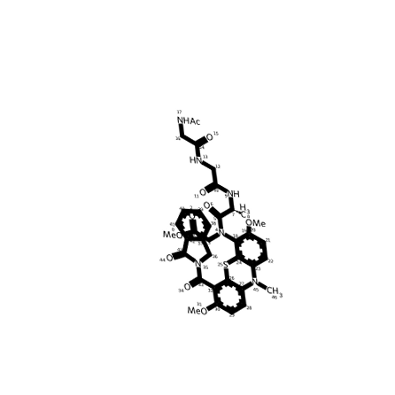 COC(=O)CN(C(=O)[C@@H](C)NC(=O)CNC(=O)CNC(C)=O)c1c(OC)ccc2c1Sc1c(ccc(OC)c1C(=O)N1Cc3ccccc3C1=O)N2C